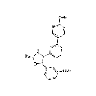 COc1cccc([C@H]2OC(=O)N[C@@H]2c2cccc(-c3ccc(OC)nc3)c2)c1